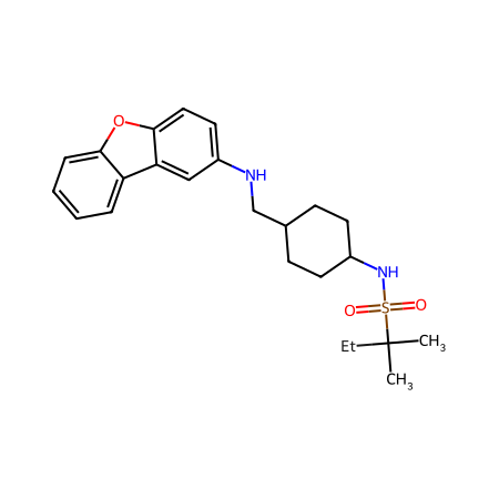 CCC(C)(C)S(=O)(=O)NC1CCC(CNc2ccc3oc4ccccc4c3c2)CC1